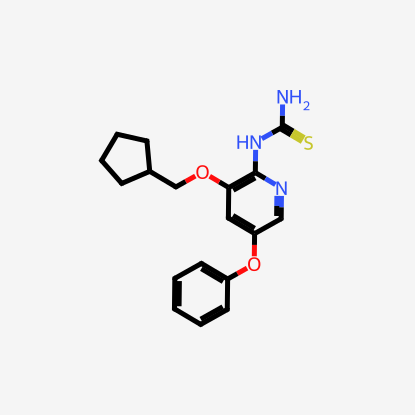 NC(=S)Nc1ncc(Oc2ccccc2)cc1OCC1CCCC1